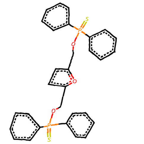 S=P(OCc1ccc(COP(=S)(c2ccccc2)c2ccccc2)o1)(c1ccccc1)c1ccccc1